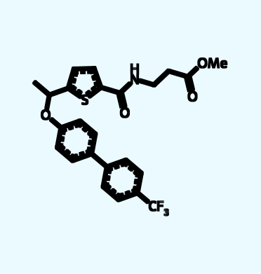 COC(=O)CCNC(=O)c1ccc(C(C)Oc2ccc(-c3ccc(C(F)(F)F)cc3)cc2)s1